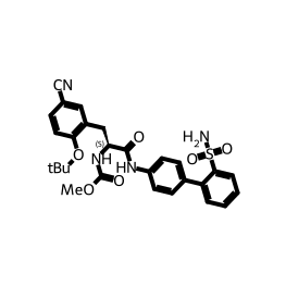 COC(=O)N[C@@H](Cc1cc(C#N)ccc1OC(C)(C)C)C(=O)Nc1ccc(-c2ccccc2S(N)(=O)=O)cc1